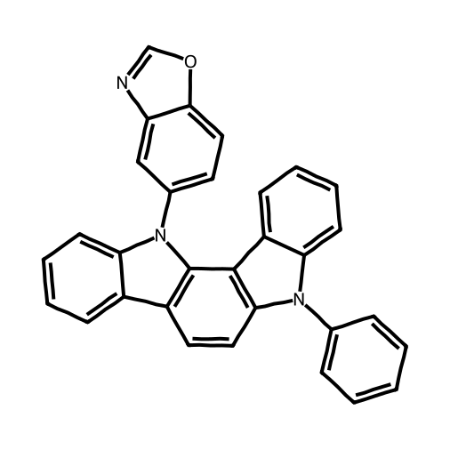 c1ccc(-n2c3ccccc3c3c2ccc2c4ccccc4n(-c4ccc5ocnc5c4)c23)cc1